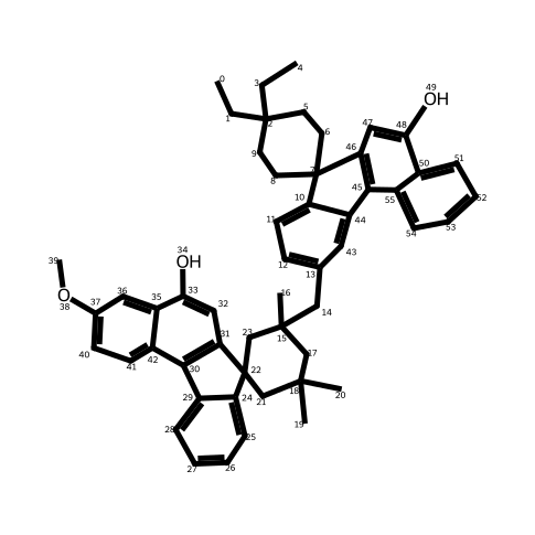 CCC1(CC)CCC2(CC1)c1ccc(CC3(C)CC(C)(C)CC4(C3)c3ccccc3-c3c4cc(O)c4cc(OC)ccc34)cc1-c1c2cc(O)c2ccccc12